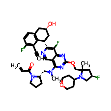 C#Cc1c(F)ccc2c1[C@@H](c1ncc3c(N(C)C[C@@H]4CCCN4C(=O)C=C)nc(OC[C@]4(C)C[C@@H](F)CN4C4CCOCC4)nc3c1F)C[C@@H](O)C2